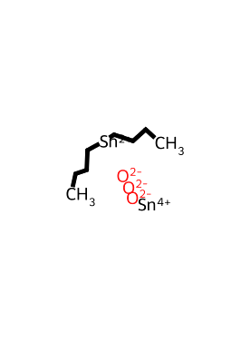 CCC[CH2][Sn+2][CH2]CCC.[O-2].[O-2].[O-2].[Sn+4]